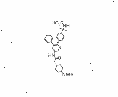 CN[C@H]1CC[C@H](CC(=O)Nc2cnc(-c3ccc(C(C)(C)NC(=O)O)cc3)c(-c3ccccc3)c2)CC1